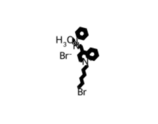 CN(/N=C/c1cc[n+](CCCCCCBr)c2ccccc12)c1ccccc1.[Br-]